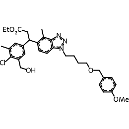 CCOC(=O)CC(c1cc(C)c(Cl)c(CO)c1)c1ccc2c(nnn2CCCCOCc2ccc(OC)cc2)c1C